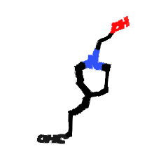 O=CCCCC1CCN(CCO)CC1